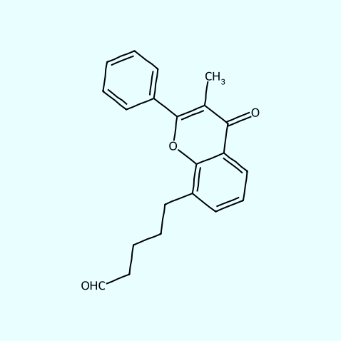 Cc1c(-c2ccccc2)oc2c(CCCCC=O)cccc2c1=O